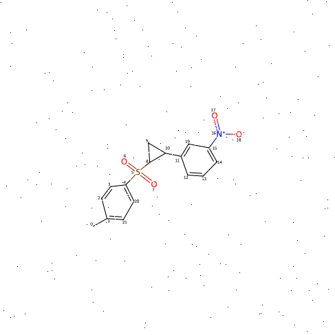 Cc1ccc(S(=O)(=O)C2CC2c2cccc([N+](=O)[O-])c2)cc1